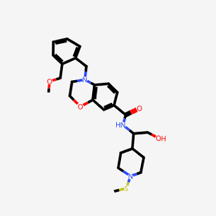 COCc1ccccc1CN1CCOc2cc(C(=O)NC(CO)C3CCN(SC)CC3)ccc21